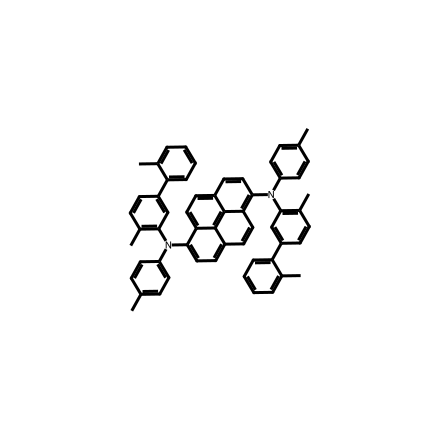 Cc1ccc(N(c2cc(-c3ccccc3C)ccc2C)c2ccc3ccc4c(N(c5ccc(C)cc5)c5cc(-c6ccccc6C)ccc5C)ccc5ccc2c3c54)cc1